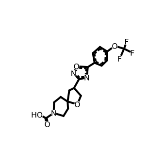 O=C(O)N1CCC2(CC1)CC(c1noc(-c3ccc(OC(F)(F)F)cc3)n1)CO2